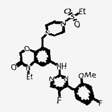 CCN1C(=O)COc2c(CN3CCN(S(=O)(=O)CC)CC3)cc(Nc3ncc(F)c(-c4ccc(F)cc4OC)n3)cc21